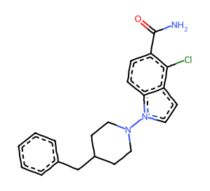 NC(=O)c1ccc2c(ccn2N2CCC(Cc3ccccc3)CC2)c1Cl